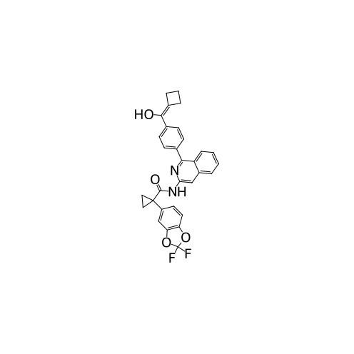 O=C(Nc1cc2ccccc2c(-c2ccc(C(O)=C3CCC3)cc2)n1)C1(c2ccc3c(c2)OC(F)(F)O3)CC1